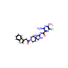 Nc1nc(P)c(Cl)nc1C(=O)/N=C1\NCC2(CCN(C(=O)Cc3csc4ccccc34)CC2)N1